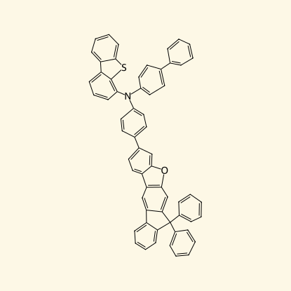 c1ccc(-c2ccc(N(c3ccc(-c4ccc5c(c4)oc4cc6c(cc45)-c4ccccc4C6(c4ccccc4)c4ccccc4)cc3)c3cccc4c3sc3ccccc34)cc2)cc1